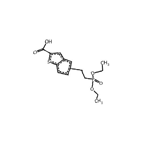 CCOP(=O)(CCc1ccc2sc(C(=O)O)cc2c1)OCC